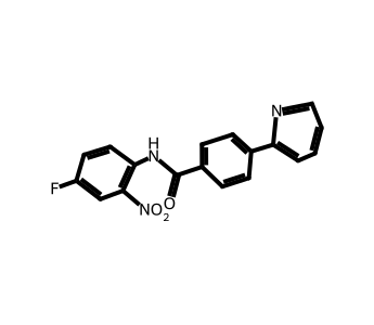 O=C(Nc1ccc(F)cc1[N+](=O)[O-])c1ccc(-c2ccccn2)cc1